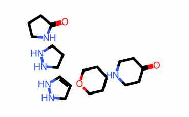 C1=CNNC1.C1CCOCC1.C1CNNC1.O=C1CCCN1.O=C1CCNCC1